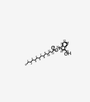 CCCCCCCCCCCCCC(=O)OCn1cc(CO)c2ccccc21